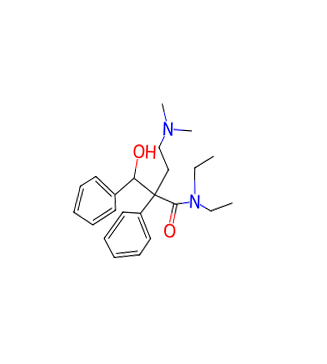 CCN(CC)C(=O)C(CCN(C)C)(c1ccccc1)C(O)c1ccccc1